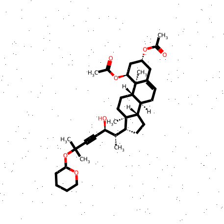 CC(=O)O[C@@H]1CC2=CC[C@H]3[C@@H]4CC[C@H]([C@H](C)[C@H](O)C#CC(C)(C)OC5CCCCO5)[C@@]4(C)CC[C@@H]3[C@@]2(C)[C@@H](OC(C)=O)C1